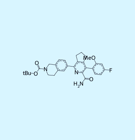 COc1cc(F)ccc1-c1c(C(N)=O)nc(-c2ccc3c(c2)CCN(C(=O)OC(C)(C)C)C3)c2c1CCC2